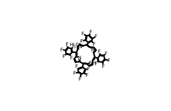 Cn1c2ccc1c(-c1c(F)c(F)c(F)c(F)c1F)c1nc(c(-c3c(F)c(F)c(F)c(F)c3F)c3ccc([nH]3)c(-c3c(F)c(F)c(F)c(F)c3F)c3nc(c2-c2c(F)c(F)c(F)c(F)c2F)C=C3)C=C1